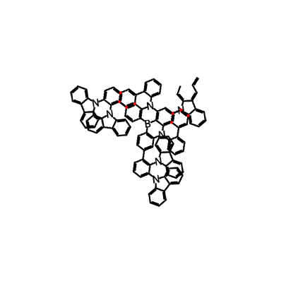 C=C/C=c1\c(=C/C)n(-c2cc3c4c(c2)N(c2ccccc2-c2ccccc2)c2cc(-c5cccc(-n6c7ccccc7c7ccccc76)c5-n5c6ccccc6c6ccccc65)ccc2B4c2ccc(-c4cccc(-n5c6ccccc6c6ccccc65)c4-n4c5ccccc5c5ccccc54)cc2N3c2ccccc2-c2ccccc2)c2ccccc12